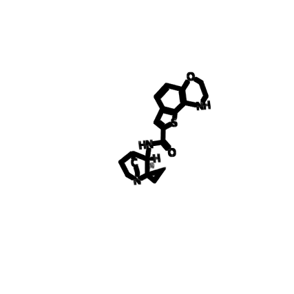 O=C(N[C@H]1C2CCN(CC2)C12CC2)c1cc2ccc3c(c2s1)NCCO3